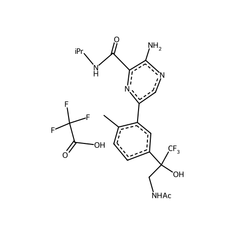 CC(=O)NCC(O)(c1ccc(C)c(-c2cnc(N)c(C(=O)NC(C)C)n2)c1)C(F)(F)F.O=C(O)C(F)(F)F